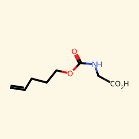 C=CCCCOC(=O)NCC(=O)O